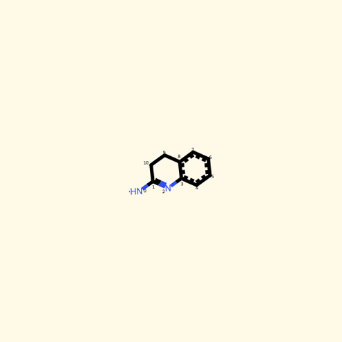 [NH]C1=Nc2ccccc2CC1